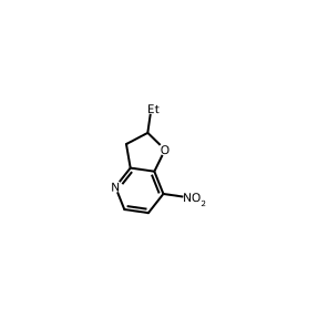 CCC1Cc2nccc([N+](=O)[O-])c2O1